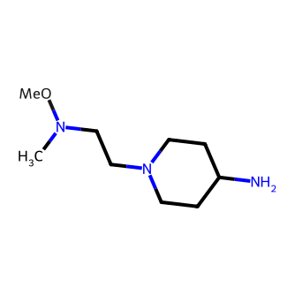 CON(C)CCN1CCC(N)CC1